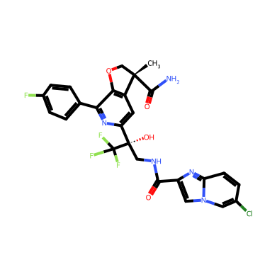 C[C@]1(C(N)=O)COc2c1cc([C@@](O)(CNC(=O)c1cn3cc(Cl)ccc3n1)C(F)(F)F)nc2-c1ccc(F)cc1